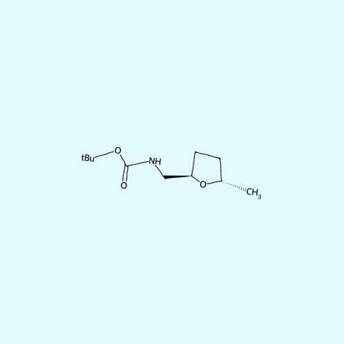 C[C@H]1CC[C@H](CNC(=O)OC(C)(C)C)O1